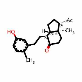 CC(=O)[C@H]1CC[C@H]2[C@H](CCc3cc(O)ccc3C)C(=O)CC[C@]12C